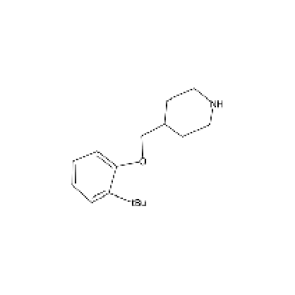 CC(C)(C)c1ccccc1OCC1CCNCC1